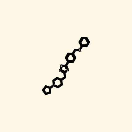 c1ccc(OCc2ccc(-c3nc(CC4CCN(C5CCCC5)CC4)no3)cc2)cc1